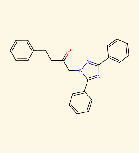 O=C(CCc1ccccc1)Cn1nc(-c2ccccc2)nc1-c1ccccc1